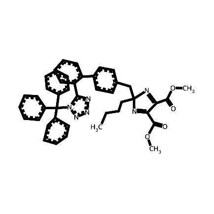 CCCCC1(Cc2ccc(-c3ccccc3-c3nnnn3C(c3ccccc3)(c3ccccc3)c3ccccc3)cc2)N=C(C(=O)OC)C(C(=O)OC)=N1